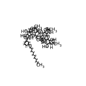 CCCCCCCCCCCOc1cccc(C(=O)N[C@@H]2C(OC3C(CO)OC(OC4C(CO)OC(OC5C(COS)OC(O)C(NC(C)=O)C5O)C(NC(C)=O)C4O)C(NC(C)=O)C3O)OC(CO)C(O)C2O)c1